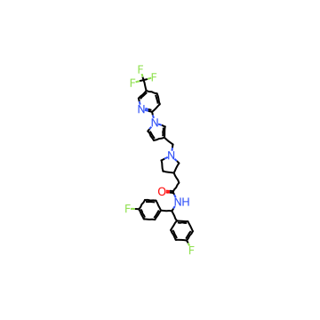 O=C(CC1CCN(Cc2ccn(-c3ccc(C(F)(F)F)cn3)c2)C1)NC(c1ccc(F)cc1)c1ccc(F)cc1